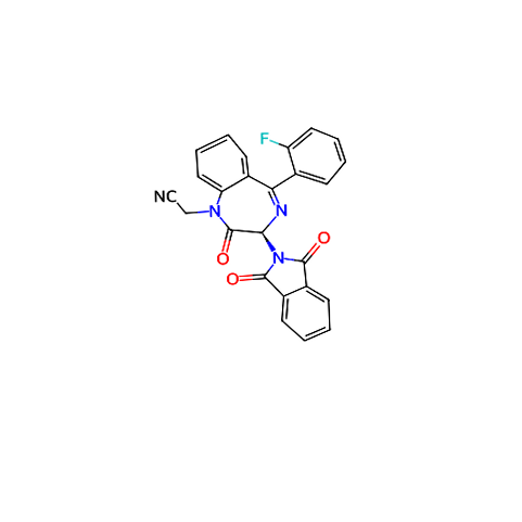 N#CCN1C(=O)[C@H](N2C(=O)c3ccccc3C2=O)N=C(c2ccccc2F)c2ccccc21